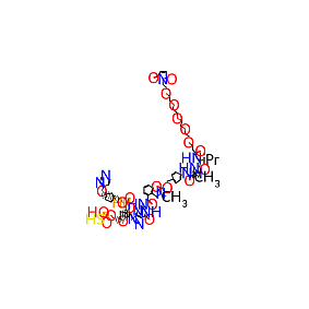 CC(C)C(NC(=O)CCOCCOCCOCCOCCOCCN1C(=O)C=CC1=O)C(=O)N[C@@H](C)C(=O)Nc1ccc(COC(=O)N(C)Cc2ccccc2C(=O)Nc2nc3c(ncn3[C@@H]3O[C@H](COP(=O)(O)S)C[C@H]3O[PH](=O)OC[C@@H]3CC[C@H](Oc4ccncn4)C3)c(=O)[nH]2)cc1